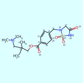 CN(C)CC(C)(C)COC(=O)c1ccc(CN2CC(=O)NS2(=O)=O)cc1